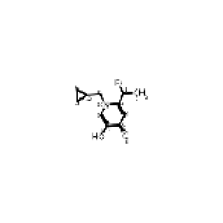 CC(F)c1cc(=O)c(O)cn1CC1CC1